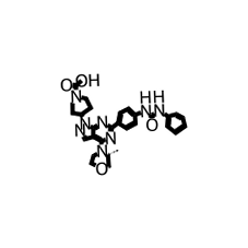 C[C@@H]1COCCN1c1nc(-c2ccc(NC(=O)Nc3ccccc3)cc2)nc2c1cnn2C1CCN(C(=O)O)CC1